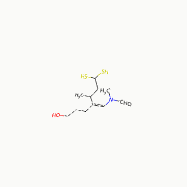 CC(CC(S)S)C(=CN(C)C=O)CCCO